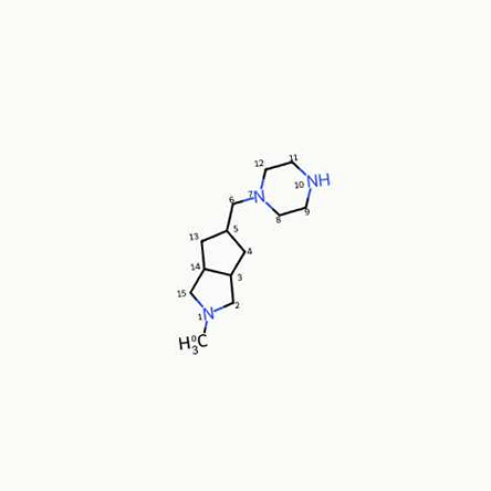 CN1CC2CC(CN3CCNCC3)CC2C1